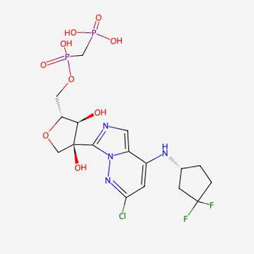 O=P(O)(O)CP(=O)(O)OC[C@H]1OC[C@@](O)(c2ncc3c(N[C@@H]4CCC(F)(F)C4)cc(Cl)nn23)[C@@H]1O